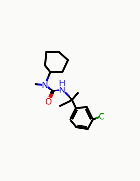 CN(C(=O)NC(C)(C)c1cccc(Cl)c1)C1CCCCC1